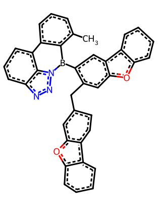 Cc1cccc2c1B(c1cc3c(cc1Cc1ccc4c(c1)oc1ccccc14)oc1ccccc13)n1nnc3cccc-2c31